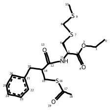 CCOC(=O)[C@H](CSCSC)NC(=O)C(CSC(C)=O)Cc1ccccc1